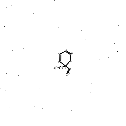 O=CC1(CF)C=CC=CC1